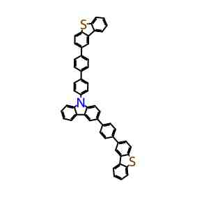 c1ccc2c(c1)sc1ccc(-c3ccc(-c4ccc(-n5c6ccccc6c6cc(-c7ccc(-c8ccc9sc%10ccccc%10c9c8)cc7)ccc65)cc4)cc3)cc12